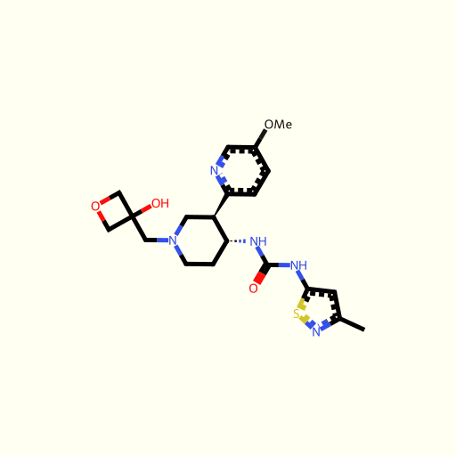 COc1ccc([C@@H]2CN(CC3(O)COC3)CC[C@H]2NC(=O)Nc2cc(C)ns2)nc1